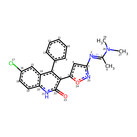 C/C(=N\c1cc(-c2c(-c3ccccc3)c3cc(Cl)ccc3[nH]c2=O)on1)N(C)C